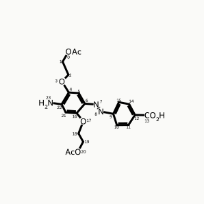 CC(=O)OCCOc1cc(N=Nc2ccc(C(=O)O)cc2)c(OCCOC(C)=O)cc1N